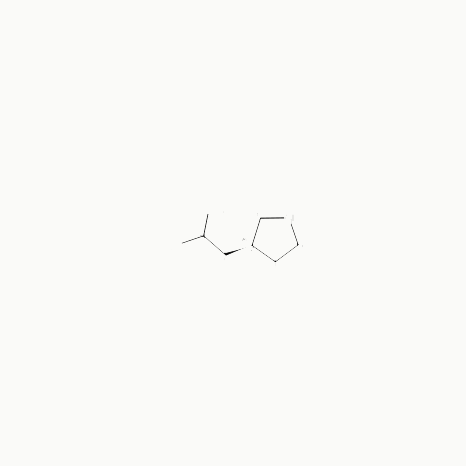 C[C](C)C[C@@H]1CCNC1